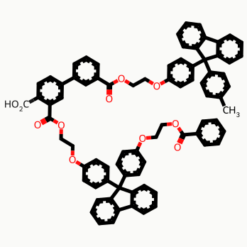 Cc1ccc(C2(c3ccc(OCCOC(=O)c4cccc(-c5ccc(C(=O)O)c(C(=O)OCCOc6ccc(C7(c8ccc(OCCOC(=O)c9ccccc9)cc8)c8ccccc8-c8ccccc87)cc6)c5)c4)cc3)c3ccccc3-c3ccccc32)cc1